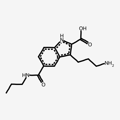 CCCNC(=O)c1ccc2[nH]c(C(=O)O)c(CCCN)c2c1